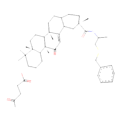 COC(=O)CCC(=O)O[C@H]1CC[C@]2(C)[C@H]3C(=O)C=C4[C@@H]5C[C@@](C)(C(=O)NC(CSCc6ccccc6)C(=O)O)CC[C@]5(C)CC[C@@]4(C)[C@]3(C)CC[C@H]2C1(C)C